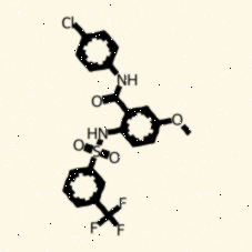 COc1ccc(NS(=O)(=O)c2cccc(C(F)(F)F)c2)c(C(=O)Nc2ccc(Cl)cc2)c1